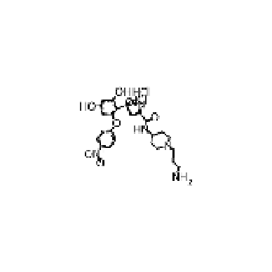 Cl.Cl.NCCCN1CCC(NC(=O)c2cc(-c3c(O)cc(O)cc3Oc3ccc([N+](=O)[O-])cc3)on2)CC1